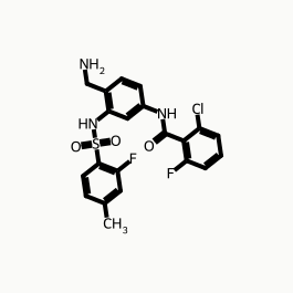 Cc1ccc(S(=O)(=O)Nc2cc(NC(=O)c3c(F)cccc3Cl)ccc2CN)c(F)c1